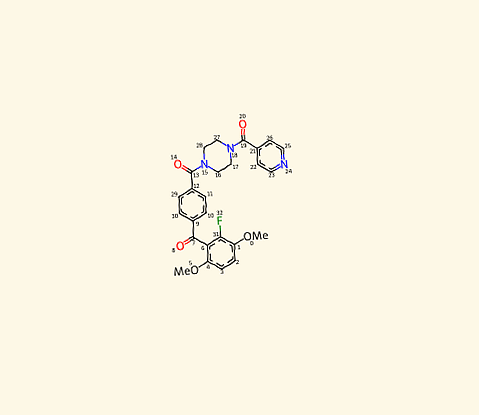 COc1ccc(OC)c(C(=O)c2ccc(C(=O)N3CCN(C(=O)c4ccncc4)CC3)cc2)c1F